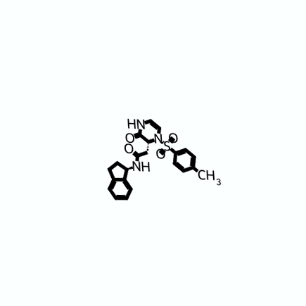 Cc1ccc(S(=O)(=O)N2C=CNC(=O)[C@H]2CC(=O)N[C@@H]2CCc3ccccc32)cc1